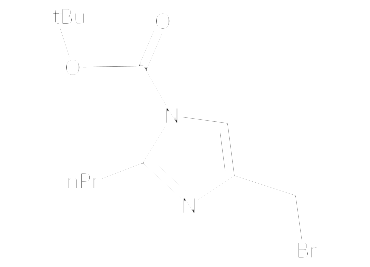 CCCc1nc(CBr)cn1C(=O)OC(C)(C)C